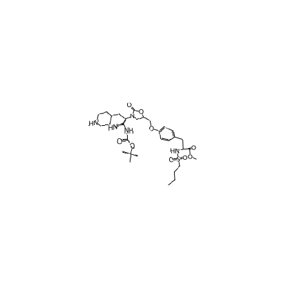 CCCCS(=O)(=O)NC(Cc1ccc(OCC2CN(C(CC3CCNCC3)C(=N)NC(=O)OC(C)(C)C)C(=O)O2)cc1)C(=O)OC